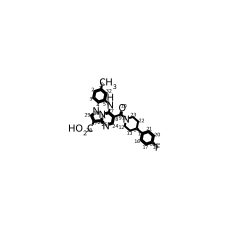 Cc1cccc(Nc2c(C(=O)N3CCC(c4ccc(F)cc4)CC3)cnc3c(C(=O)O)cnn23)c1